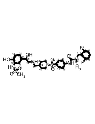 CN(Cc1c(F)cccc1F)C(=O)Nc1ccc(S(=O)(=O)N2CCC(CNCC(O)c3ccc(O)c(NS(C)(=O)=O)c3)CC2)cc1